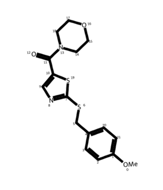 COc1ccc(CSc2ncc(C(=O)N3CCOCC3)s2)cc1